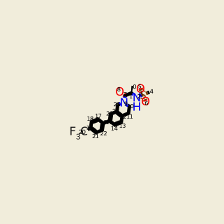 C[C@@H](NS(C)(=O)=O)C(=O)N1CCc2ccc(-c3ccc(C(F)(F)F)cc3)cc2C1